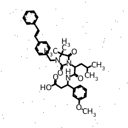 COc1cccc(C(CC(=O)O)NC(=O)C(CC(C)C)N2C(=O)N(Cc3ccc(C=Cc4ccccc4)cc3)C(C)(C)C2=O)c1